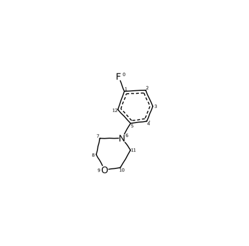 Fc1cc[c]c(N2CCOCC2)c1